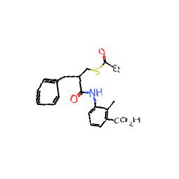 CCC(=O)SCC(Cc1ccccc1)C(=O)Nc1cccc(C(=O)O)c1C